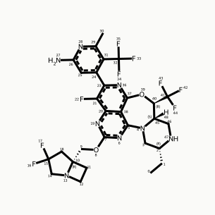 CC[C@@H]1CN2c3nc(OC[C@]45CCN4CC(F)(F)C5)nc4c(F)c(-c5cc(N)nc(C)c5C(F)(F)F)nc(c34)O[C@@H](C(F)(F)F)[C@@H]2CN1